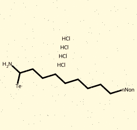 CCCCCCCCCCCCCCCCCC(N)[Te].Cl.Cl.Cl.Cl